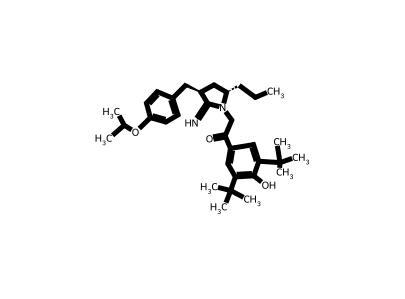 CCC[C@H]1C[C@H](Cc2ccc(OC(C)C)cc2)C(=N)N1CC(=O)c1cc(C(C)(C)C)c(O)c(C(C)(C)C)c1